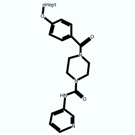 CCCCCCCOc1ccc(C(=O)N2CCN(C(=O)Nc3cccnc3)CC2)cc1